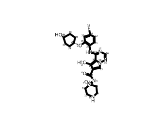 Cc1c(C(=O)N=S2(=O)CCNCC2)cn2ncnc(Nc3ccc(F)cc3O[C@H]3CC[C@H](O)CC3)c12